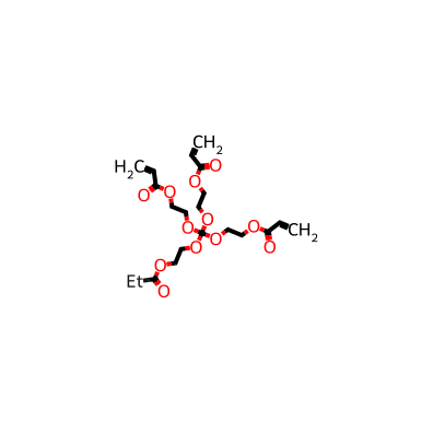 C=CC(=O)OCCOC(OCCOC(=O)C=C)(OCCOC(=O)C=C)OCCOC(=O)CC